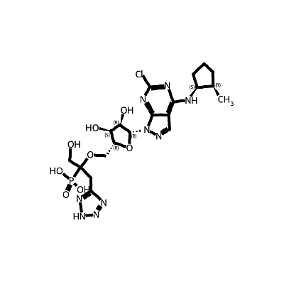 C[C@@H]1CCC[C@@H]1Nc1nc(Cl)nc2c1cnn2[C@@H]1O[C@H](COC(CO)(Cc2nn[nH]n2)P(=O)(O)O)[C@@H](O)[C@H]1O